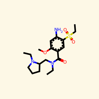 CCN(CC1CCCN1CC)C(=O)c1cc(S(=O)(=O)CC)c(N)cc1OC